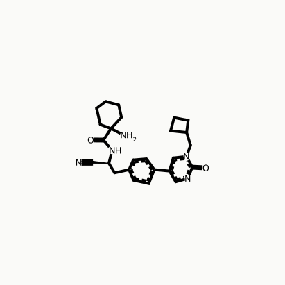 N#C[C@H](Cc1ccc(-c2cnc(=O)n(CC3CCC3)c2)cc1)NC(=O)C1(N)CCCCC1